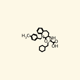 Cc1ccc(CN2C(=O)C(N[C@@H](CCC3CCCCC3)C(=O)O)CCc3ccccc32)cc1